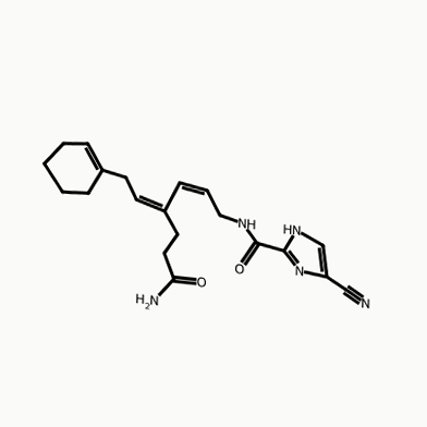 N#Cc1c[nH]c(C(=O)NC/C=C\C(=C/CC2=CCCCC2)CCC(N)=O)n1